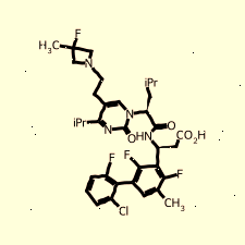 Cc1cc(-c2c(F)cccc2Cl)c(F)c([C@H](CC(=O)O)NC(=O)[C@H](CC(C)C)n2cc(CCN3CC(C)(F)C3)c(C(C)C)nc2=O)c1F